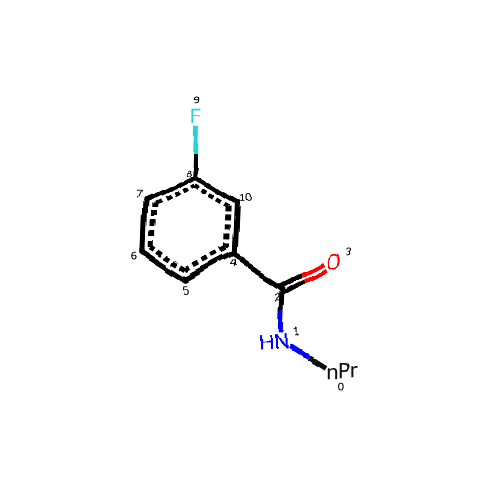 CCCNC(=O)c1cccc(F)c1